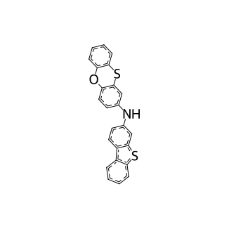 c1ccc2c(c1)Oc1ccc(Nc3ccc4c(c3)sc3ccccc34)cc1S2